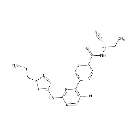 CCCn1cc(Nc2ncc(Cl)c(-c3ccc(C(=O)N[C@H](C#N)CC)cc3)n2)cn1